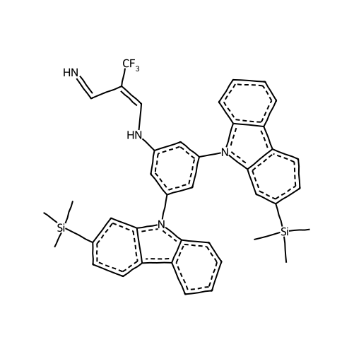 C[Si](C)(C)c1ccc2c3ccccc3n(-c3cc(N/C=C(\C=N)C(F)(F)F)cc(-n4c5ccccc5c5ccc([Si](C)(C)C)cc54)c3)c2c1